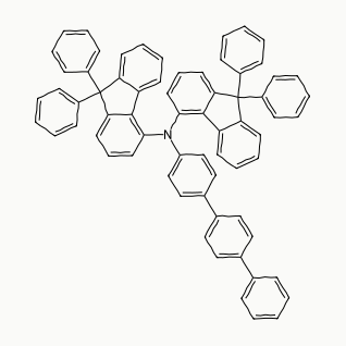 c1ccc(-c2ccc(-c3ccc(N(c4cccc5c4-c4ccccc4C5(c4ccccc4)c4ccccc4)c4cccc5c4-c4ccccc4C5(c4ccccc4)c4ccccc4)cc3)cc2)cc1